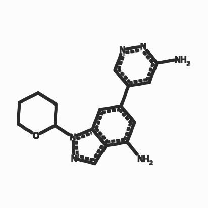 Nc1cc(-c2cc(N)c3cnn(C4CCCCO4)c3c2)cnn1